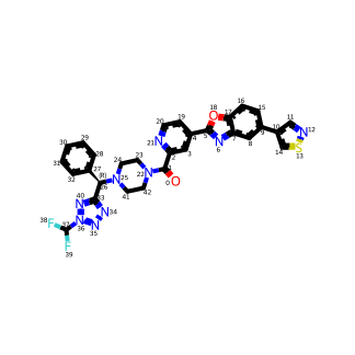 O=C(c1cc(-c2nc3cc(-c4cnsc4)ccc3o2)ccn1)N1CCN([C@H](c2ccccc2)c2nnn(C(F)F)n2)CC1